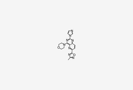 Cc1noc(-c2ccc3nc(-n4ccnc4)nc(N4CCOCC4)c3n2)n1